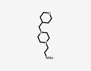 CNCCN1CCN(CC2CCOCC2)CC1